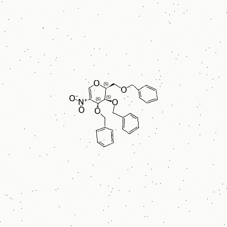 O=[N+]([O-])C1=CO[C@@H](COCc2ccccc2)[C@@H](OCc2ccccc2)[C@H]1OCc1ccccc1